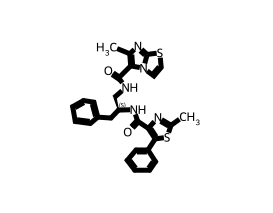 Cc1nc(C(=O)N[C@H](CNC(=O)c2c(C)nc3sccn23)Cc2ccccc2)c(-c2ccccc2)s1